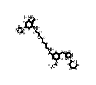 FC(F)(F)Oc1cc(CNCCCCOCCNc2cc(-n3cnnc3)cc3[nH]ncc23)cc(Cc2cnn(C3CCCCO3)c2)c1